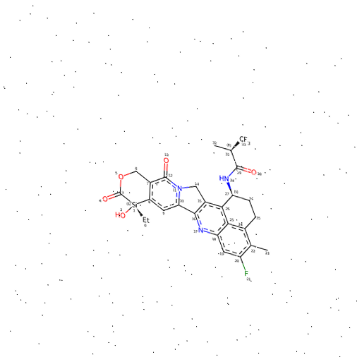 CC[Si@@]1(O)C(=O)OCc2c1cc1n(c2=O)Cc2c-1nc1cc(F)c(C)c3c1c2[C@@H](NC(=O)[C@@H](C)C(F)(F)F)CC3